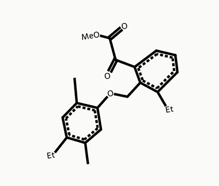 CCc1cc(C)c(OCc2c(CC)cccc2C(=O)C(=O)OC)cc1C